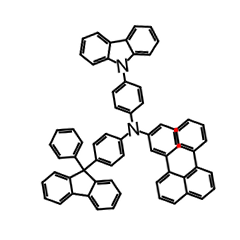 c1ccc(-c2cccc3cccc(-c4cccc(N(c5ccc(-n6c7ccccc7c7ccccc76)cc5)c5ccc(C6(c7ccccc7)c7ccccc7-c7ccccc76)cc5)c4)c23)cc1